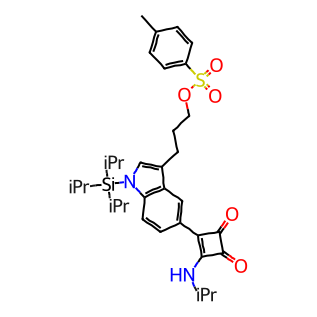 Cc1ccc(S(=O)(=O)OCCCc2cn([Si](C(C)C)(C(C)C)C(C)C)c3ccc(-c4c(NC(C)C)c(=O)c4=O)cc23)cc1